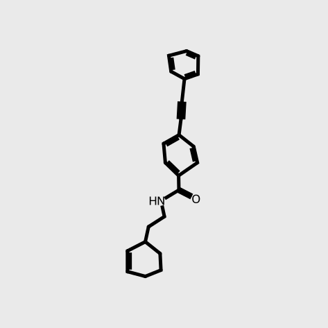 O=C(NCCC1C=CCCC1)c1ccc(C#Cc2ccccc2)cc1